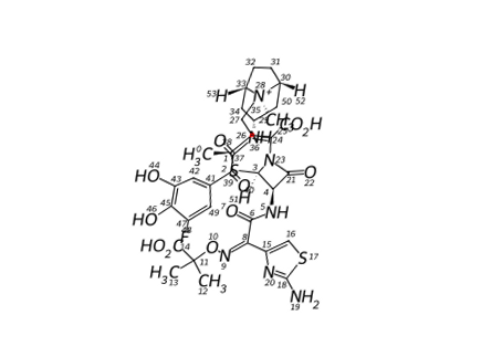 C[C@@H]1S[C@@H]2[C@H](NC(=O)/C(=N\OC(C)(C)C(=O)O)c3csc(N)n3)C(=O)N2C(C(=O)O)=C1C[N@+]1(C)[C@@H]2CC[C@H]1C[C@@H](NC(=O)C(=O)c1cc(O)c(O)c(F)c1)C2